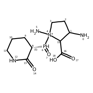 NC1CC[N+](N)([PH](=O)[C@H]2CCCNC2=O)C1C(=O)O